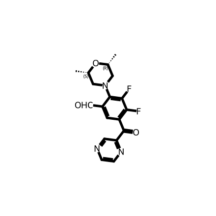 C[C@@H]1CN(c2c(C=O)cc(C(=O)c3cnccn3)c(F)c2F)C[C@H](C)O1